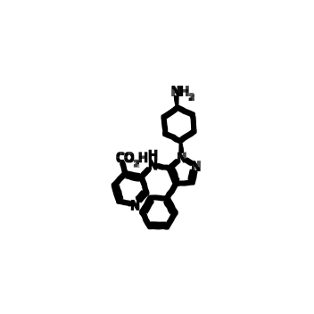 N[C@H]1CC[C@@H](n2ncc(-c3ccccc3)c2Nc2cnccc2C(=O)O)CC1